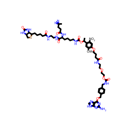 COc1cc(C(C)OC(=O)NCCCCC(NC(=O)CCC2(C)N=N2)C(=O)NCCNC(=O)CCCCC2SCC3NC(=O)NC32)c([N+](=O)[O-])cc1OCCCC(=O)NCCOCCOC(=O)NCc1ccc(COc2nc(N)nc3[nH]cnc23)cc1